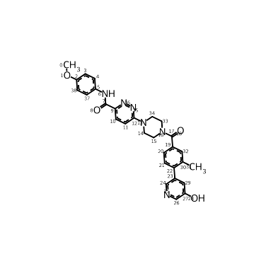 COc1ccc(NC(=O)c2ccc(N3CCN(C(=O)c4ccc(-c5cncc(O)c5)c(C)c4)CC3)nn2)cc1